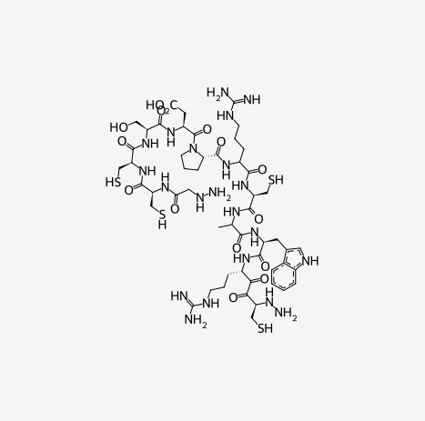 CC(NC(=O)[C@H](CS)NC(=O)C(CCCNC(=N)N)NC(=O)[C@@H]1CCCN1C(=O)[C@H](CC(=O)O)NC(=O)[C@H](CO)NC(=O)[C@H](CS)NC(=O)[C@H](CS)NC(=O)CNN)C(=O)N[C@@H](Cc1c[nH]c2ccccc12)C(=O)N[C@@H](CCCNC(=N)N)C(=O)C(=O)[C@H](CS)NN